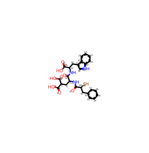 O=C(NC(CC(C(=O)O)C(=O)O)C(=O)NC(Cc1c[nH]c2ccccc12)C(=O)O)C(S)Cc1ccccc1